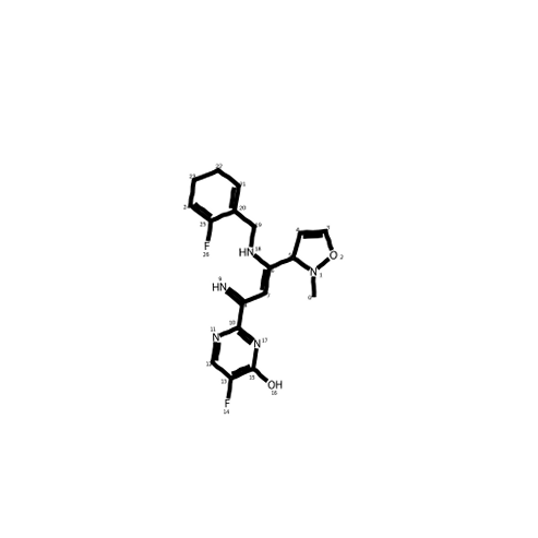 CN1OC=CC1/C(=C/C(=N)c1ncc(F)c(O)n1)NCC1=CCCC=C1F